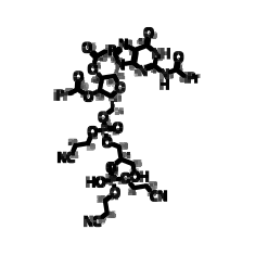 CC(C)C(=O)Nc1nc2c(ncn2[C@@H]2O[C@H](COP(=O)(OCCC#N)OCC(CO)O[PH](O)(OCCC#N)OCCC#N)[C@@H](OC(=O)C(C)C)[C@H]2OC(=O)C(C)C)c(=O)[nH]1